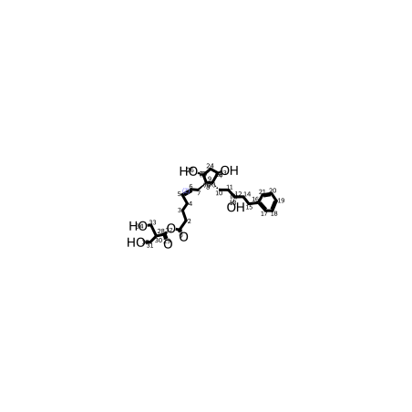 O=C(CCC/C=C\C[C@@H]1[C@@H](CC[C@@H](O)CCc2ccccc2)[C@H](O)C[C@@H]1O)OC(=O)C(CO)CO